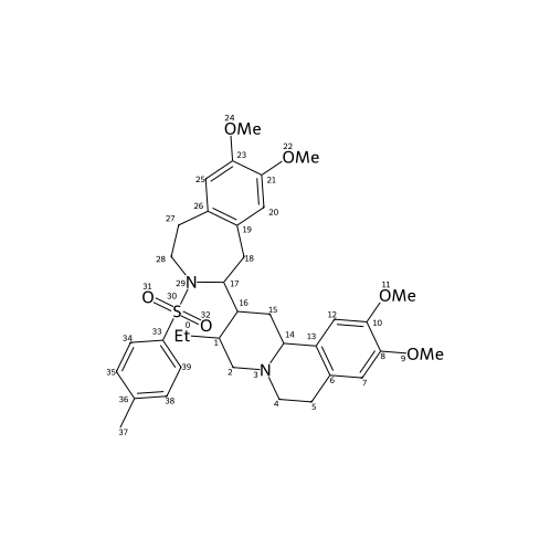 CCC1CN2CCc3cc(OC)c(OC)cc3C2CC1C1Cc2cc(OC)c(OC)cc2CCN1S(=O)(=O)c1ccc(C)cc1